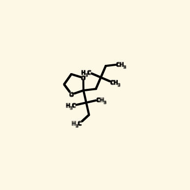 CCC(C)(C)CC1(C(C)(C)CC)OCCO1